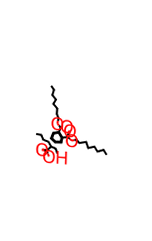 CCCCC(CC)C(=O)O.CCCCCCCCOC(=O)c1ccccc1C(=O)OCCCCCCCC